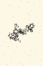 CNC(=O)C(c1ccccc1)N1CC[C@H](C)CC(NC(=O)C(S)CCCCN2C(=O)c3ccccc3C2=O)C1=O